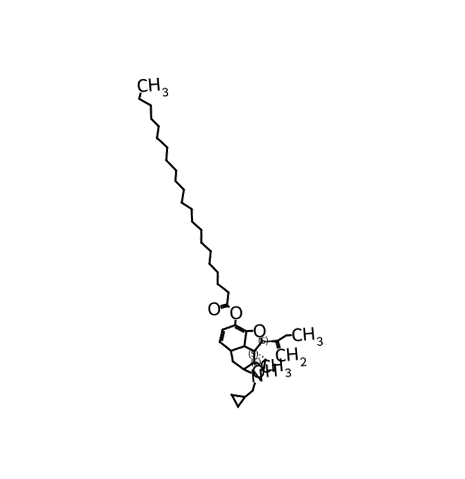 C=C(CC)[C@@H]1OC2=C(OC(=O)CCCCCCCCCCCCCCCCCCCCC)C=CC3CC4N(CC5CC5)CC[C@@]1(C23)[C@]4(C)O